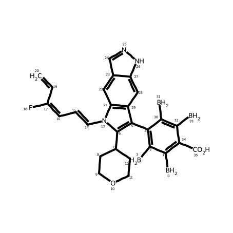 Bc1c(B)c(-c2c(C3CCOCC3)n(/C=C/C=C(/F)C=C)c3cc4cn[nH]c4cc23)c(B)c(B)c1C(=O)O